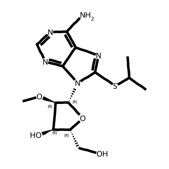 CO[C@@H]1[C@H](O)[C@@H](CO)O[C@H]1n1c(SC(C)C)nc2c(N)ncnc21